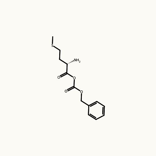 CSCC[C@H](N)C(=O)OC(=O)OCc1ccccc1